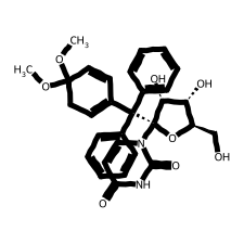 COC1(OC)C=CC(C(c2ccccc2)(c2ccccc2)[C@@]2(n3ccc(=O)[nH]c3=O)O[C@H](CO)[C@@H](O)[C@H]2O)=CC1